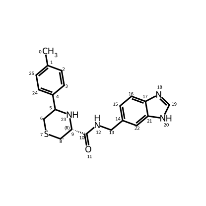 Cc1ccc(C2CS[CH][C@@H](C(=O)NCc3ccc4nc[nH]c4c3)N2)cc1